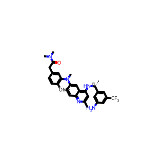 COc1ccc(CC(=O)N(C)C)cc1N(C)c1ccc2nc(C)cc(N[C@H](C)c3cc(N)cc(C(F)(F)F)c3)c2c1